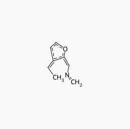 C=N/C=c1/occ/c1=C/C